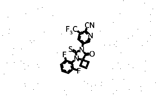 N#Cc1ncc(N2C(=O)C3(CCC3)N(c3c(F)cccc3F)C2=S)cc1C(F)(F)F